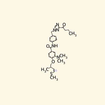 CCCC(=O)c1ncn(Cc2ccc(NC(=O)c3ccc(OCC(C)/C=C\SC)c(N(C)C)c3)cc2)n1